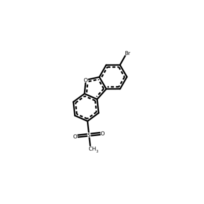 CS(=O)(=O)c1ccc2oc3cc(Br)ccc3c2c1